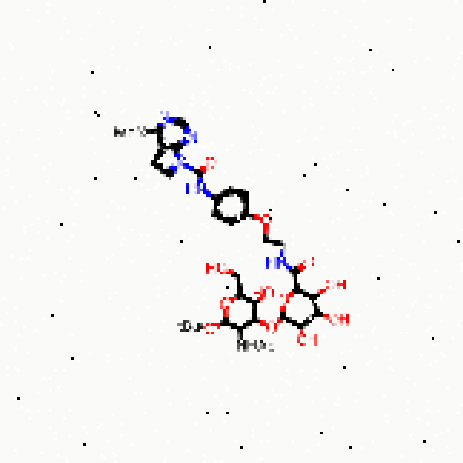 CNc1ncnc2c1ccn2C(=O)Nc1ccc(OCCNC(=O)C2OC(OC3C(O)C(CO)OC(OC(C)(C)C)C3NC(C)=O)C(O)C(O)C2O)cc1